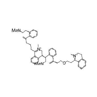 C=C(CCCC1=[N+](C)CC(C(CNC)c2ccccc2C(=C)CCOCCC2=[N+](C)CCc3ccccc32)c2ccccc21)c1ccccc1CCNC